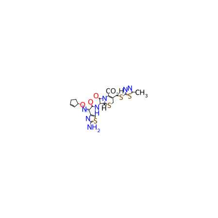 Cc1nnc(SCC2=C(C(=O)O)N3C(=O)C(NC(=O)/C(=N\OC4C=CCC4)c4csc(N)n4)[C@H]3SC2)s1